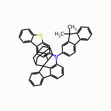 CC1(C)c2ccccc2-c2ccc(N(c3ccc4c(c3)sc3ccccc34)c3cccc4c3C3(c5ccccc5-4)C4CC5CC(C4)CC3C5)cc21